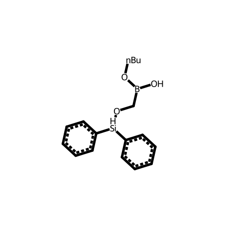 CCCCOB(O)CO[SiH](c1ccccc1)c1ccccc1